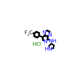 Cl.FC(F)(F)c1ccc(-c2cnc(N[C@H]3CCNC3)c3nccnc23)cc1